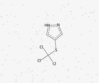 ClC(Cl)(Cl)Sc1cn[nH]c1